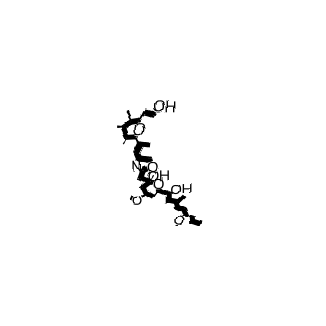 C=CC[C@H](/C=C/C(C)=C/[C@@H](O)[C@H]1C[C@@H](OC)C[C@@](O)(Cc2nc(/C=C(\C)[C@@H]3O[C@H](CCO)[C@H](C)[C@H](C)[C@H]3C)co2)O1)OC